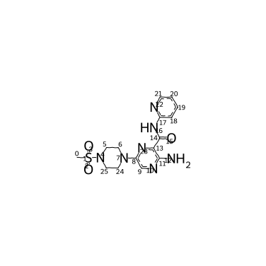 CS(=O)(=O)N1CCN(c2cnc(N)c(C(=O)Nc3ccccn3)n2)CC1